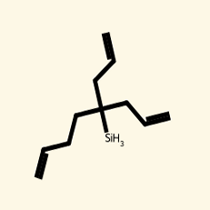 C=CCCC([SiH3])(CC=C)CC=C